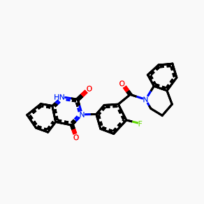 O=C(c1cc(-n2c(=O)[nH]c3ccccc3c2=O)ccc1F)N1CCCc2ccccc21